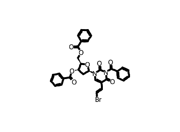 O=C(OC[C@H]1O[C@@H](n2cc(C=CBr)c(=O)n(C(=O)c3ccccc3)c2=O)C[C@@H]1OC(=O)c1ccccc1)c1ccccc1